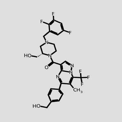 Cc1c(-c2ccc(CO)cc2)nc2c(C(=O)N3CCN(Cc4cc(F)cc(F)c4F)C[C@H]3CO)cnn2c1C(F)(F)F